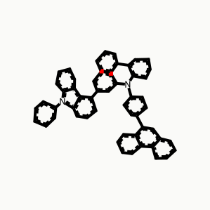 c1ccc(-c2ccccc2N(c2ccc(-c3cc4ccccc4c4ccccc34)cc2)c2cccc(-c3cccc4c3c3ccccc3n4-c3ccccc3)c2)cc1